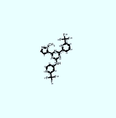 Cn1nccc1-c1nc(Nc2ccnc(C(F)(F)F)c2)nc(-c2cccc(C(F)(F)F)n2)n1